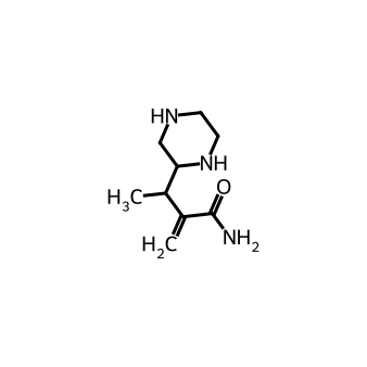 C=C(C(N)=O)C(C)C1CNCCN1